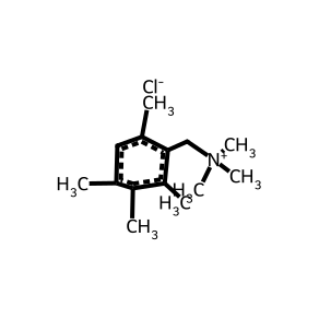 Cc1cc(C)c(C[N+](C)(C)C)c(C)c1C.[Cl-]